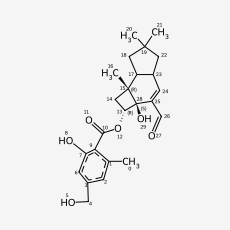 Cc1cc(CO)cc(O)c1C(=O)O[C@@H]1C[C@]2(C)C3CC(C)(C)CC3C=C(C=O)[C@]12O